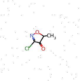 CC1ON=C(Cl)C1=O